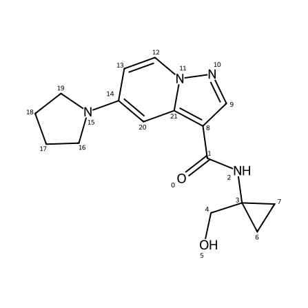 O=C(NC1(CO)CC1)c1cnn2ccc(N3CCCC3)cc12